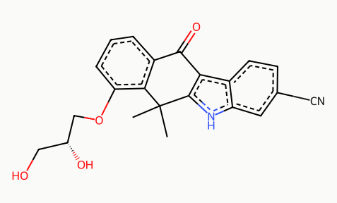 CC1(C)c2[nH]c3cc(C#N)ccc3c2C(=O)c2cccc(OC[C@H](O)CO)c21